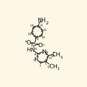 Cc1cnc(NS(=O)(=O)c2ccc(N)cc2)nc1C